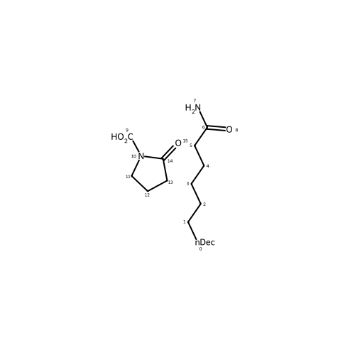 CCCCCCCCCCCCCCCC(N)=O.O=C(O)N1CCCC1=O